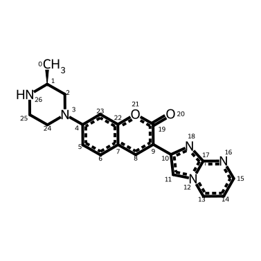 C[C@H]1CN(c2ccc3cc(-c4cn5cccnc5n4)c(=O)oc3c2)CCN1